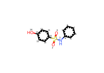 O=S(=O)(Nc1c[c]ccc1)c1ccc(O)cc1